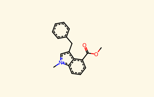 COC(=O)c1cccc2c1c(Cc1ccccc1)cn2C